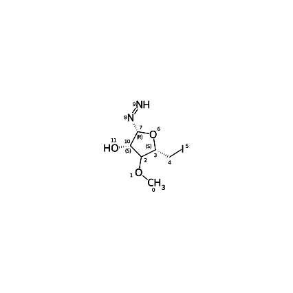 COC1[C@@H](CI)O[C@@H](N=N)[C@H]1O